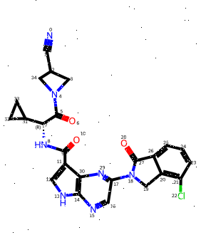 N#CC1CN(C(=O)[C@H](NC(=O)c2c[nH]c3ncc(N4Cc5c(Cl)cccc5C4=O)nc23)C2CC2)C1